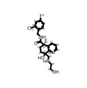 O=C(NCc1ccc(F)cc1Cl)[C@]1(F)CC[C@@](O)(CNCCO)c2ncccc21